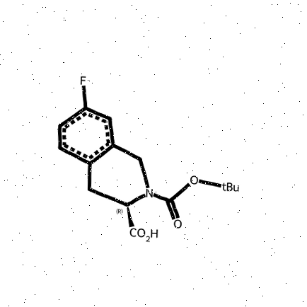 CC(C)(C)OC(=O)N1Cc2cc(F)ccc2C[C@@H]1C(=O)O